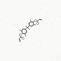 C=CC(=O)Oc1c(C)cc(C(C)(C)c2cc(C)c(OC(=O)C=C)c(C)c2)cc1C